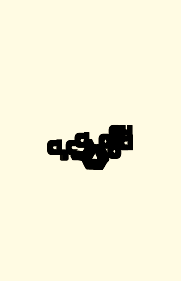 O=P(O)(Cl)Oc1cccc(CC(Cl)(Cl)Cl)c1Cl